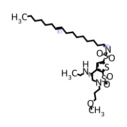 CCCCCC/C=C/CCCCCCC/C=N\S(=O)(=O)c1cc2c(s1)S(=O)(=O)N(CCCOC)C[C@@H]2NCC